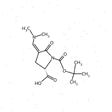 CN(C)C=C1C[C@@H](C(=O)O)N(C(=O)OC(C)(C)C)C1=O